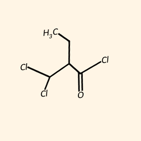 CCC(C(=O)Cl)C(Cl)Cl